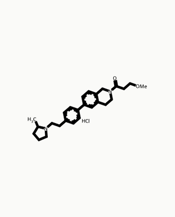 COCCC(=O)N1CCc2cc(-c3ccc(CCN4CCCC4C)cc3)ccc2C1.Cl